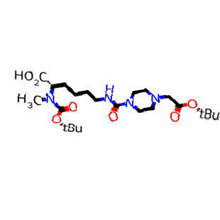 CN(C(=O)OC(C)(C)C)[C@@H](CCCCNC(=O)N1CCN(CC(=O)OC(C)(C)C)CC1)C(=O)O